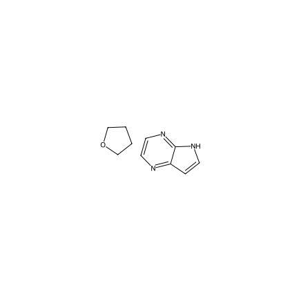 C1CCOC1.c1cnc2[nH]ccc2n1